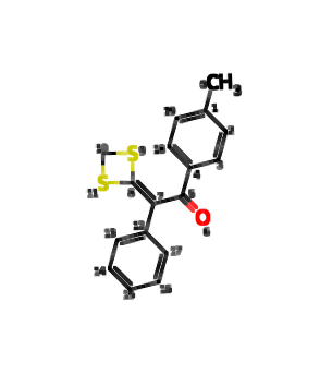 Cc1ccc(C(=O)C(=C2SCS2)c2ccccc2)cc1